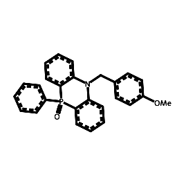 COc1ccc(CN2c3ccccc3P(=O)(c3ccccc3)c3ccccc32)cc1